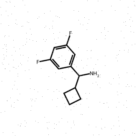 NC(c1cc(F)cc(F)c1)C1CCC1